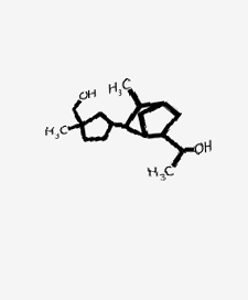 CC(O)C1CC2CC1C(C1CCC(C)(CO)C1)C2C